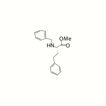 COC(=O)[C@H](CCc1ccccc1)NCc1ccccc1